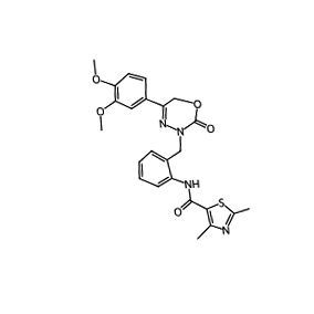 COc1ccc(C2=NN(Cc3ccccc3NC(=O)c3sc(C)nc3C)C(=O)OC2)cc1OC